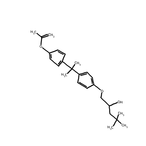 C=C(C)Oc1ccc(C(C)(C)c2ccc(OCC(O)CC(C)(C)C)cc2)cc1